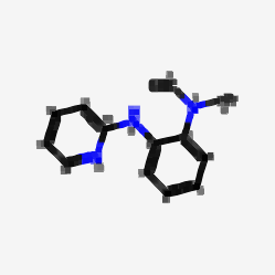 CCCN(C=O)c1ccccc1Nc1ccccn1